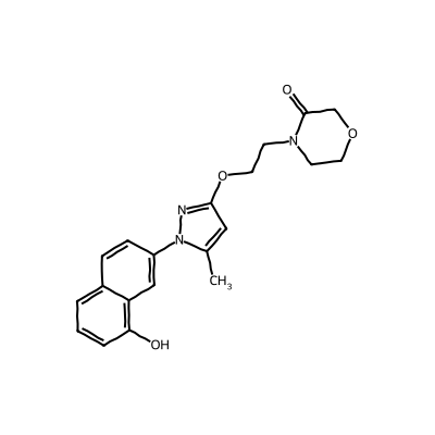 Cc1cc(OCCN2CCOCC2=O)nn1-c1ccc2cccc(O)c2c1